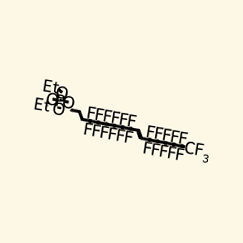 CCOP(=O)(OCC)OCCCC(F)(F)C(F)(F)C(F)(F)C(F)(F)C(F)(F)C(F)(F)C=CC(F)(F)C(F)(F)C(F)(F)C(F)(F)C(F)(F)C(F)(F)F